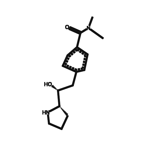 CN(C)C(=O)c1ccc(C[C@@H](O)[C@@H]2CCCN2)cc1